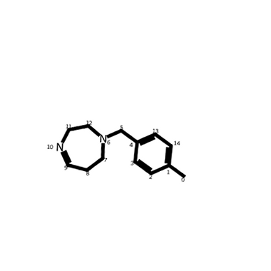 Cc1ccc(CN2CCC=NCC2)cc1